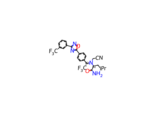 CC(C)C[C@@H](C(N)=O)N(CC#N)[C@@H](c1ccc(-c2nc(-c3cccc(C(F)(F)F)c3)no2)cc1)C(F)(F)F